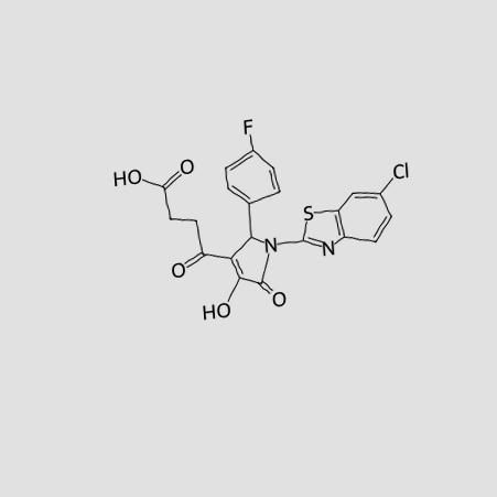 O=C(O)CCC(=O)C1=C(O)C(=O)N(c2nc3ccc(Cl)cc3s2)C1c1ccc(F)cc1